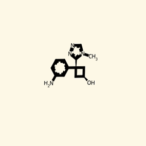 Cn1cnnc1[C@]1(c2cccc(N)c2)C[C@H](O)C1